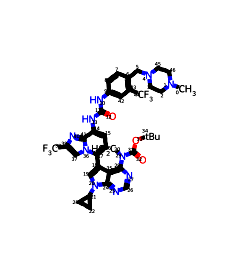 CN1CCN(Cc2ccc(NC(=O)Nc3ccc(-c4cn(C5CC5)c5ncnc(N(C(=O)O)C(=O)OC(C)(C)C)c45)n4cc(C(F)(F)F)nc34)cc2C(F)(F)F)CC1